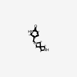 O=c1ccc(CN2CC3(CNC3)C2)c[nH]1